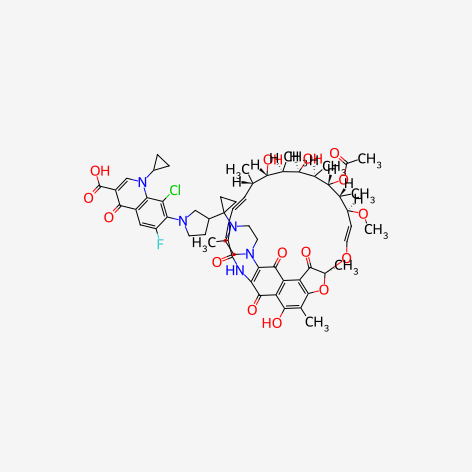 CO[C@H]1/C=C/O[C@@]2(C)Oc3c(C)c(O)c4c(c3C2=O)C(=O)C(N2CCN(C3(C5CCN(c6c(F)cc7c(=O)c(C(=O)O)cn(C8CC8)c7c6Cl)C5)CC3)CC2)=C(NC(=O)/C(C)=C\C=C\[C@H](C)[C@H](O)[C@@H](C)[C@@H](O)[C@@H](C)[C@H](OC(C)=O)[C@@H]1C)C4=O